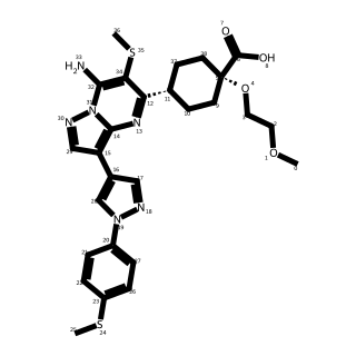 COCCO[C@]1(C(=O)O)CC[C@H](c2nc3c(-c4cnn(-c5ccc(SC)cc5)c4)cnn3c(N)c2SC)CC1